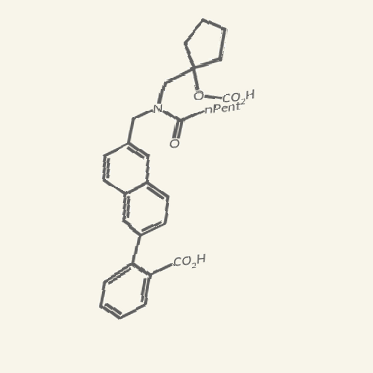 CCCCCC(=O)N(Cc1ccc2cc(-c3ccccc3C(=O)O)ccc2c1)CC1(OC(=O)O)CCCC1